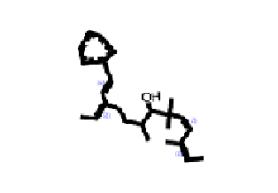 C/C=C(C)\C=C/C(C)(C)C(O)C(C)CCC(=C/C)/C=C/c1ccccc1